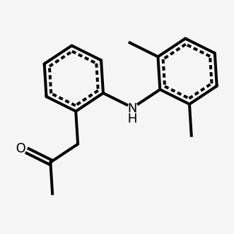 CC(=O)Cc1ccccc1Nc1c(C)cccc1C